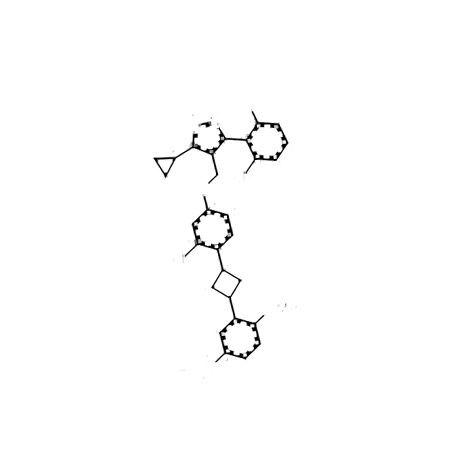 COc1ccc(C(=O)O)cc1C1CC(c2ccc(OCc3c(-c4c(Cl)cccc4Cl)noc3C3CC3)cc2Cl)C1